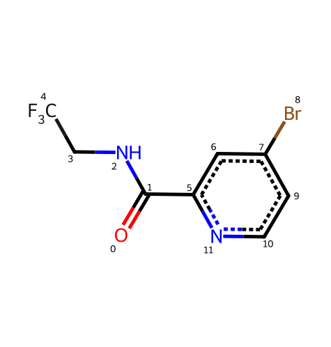 O=C(NCC(F)(F)F)c1cc(Br)ccn1